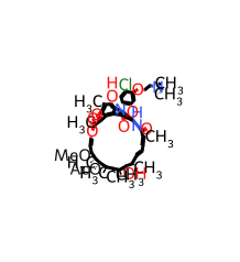 CO[C@H]1/C=C/O[C@@]2(C)Oc3c(C)c(O)c4c(=O)c(c5oc6cc(OCCN(C)C)c(Cl)cc6nc-5c4c3C2=O)NC(=O)/C(C)=C\C=C\[C@H](C)[C@H](O)[C@@H](C)[C@@H](C)[C@@H](C)[C@H](OC(C)=O)[C@@H]1C